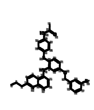 CCCc1ccc2c(Nc3cc(OCc4cccc(Br)c4)ccc3Sc3ccc(NC(C)=O)cc3)ccnc2n1